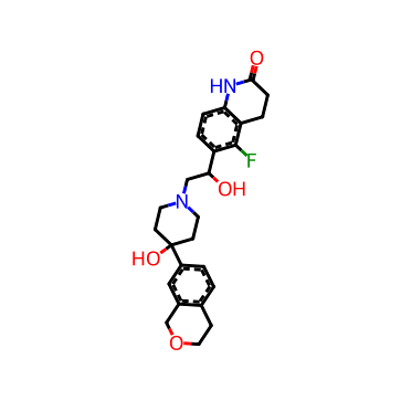 O=C1CCc2c(ccc(C(O)CN3CCC(O)(c4ccc5c(c4)COCC5)CC3)c2F)N1